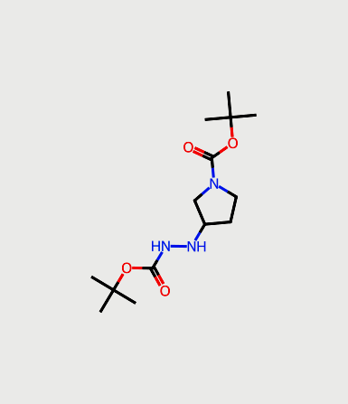 CC(C)(C)OC(=O)NNC1CCN(C(=O)OC(C)(C)C)C1